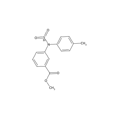 COC(=O)c1cccc(N(c2ccc(C)cc2)[SH](=O)=O)c1